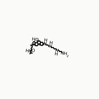 CC(C)NC(=O)CC[C@@H](C)[C@H]1CCC2C3C(CC[C@@]21C)[C@@]1(C)CC[C@H](NCCCNCCCCNCCCN)CC1C[C@H]3O